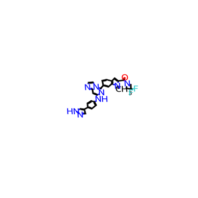 Cn1c(C(=O)N2CC(F)(F)C2)cc2ccc(-c3nc(Nc4ccc(-c5cn[nH]c5)cc4)cc4nccn34)cc21